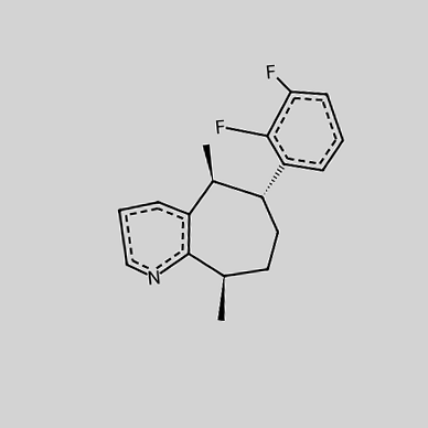 C[C@@H]1CC[C@@H](c2cccc(F)c2F)[C@H](C)c2cccnc21